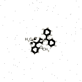 COc1ccccc1C(=C1CN(C(c2ccccc2)c2ccccc2)C1)S(C)(=O)=O